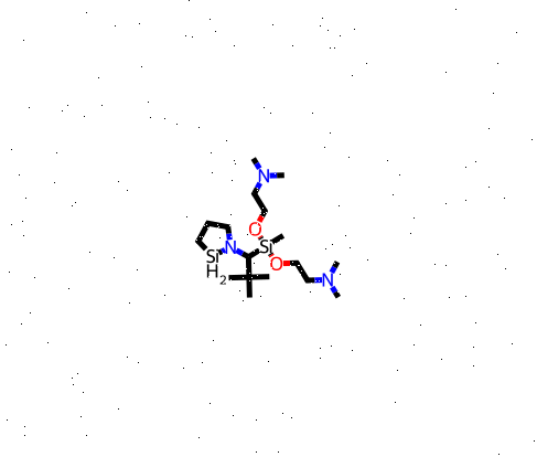 CN(C)CCO[Si](C)(OCCN(C)C)C(N1CCC[SiH2]1)C(C)(C)C